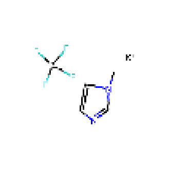 Cn1ccnc1.F[B-](F)(F)F.[K+]